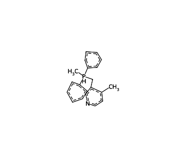 Cc1ccncc1C[PH](C)(c1ccccc1)c1ccccc1